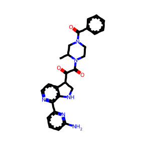 CC1CN(C(=O)c2ccccc2)CCN1C(=O)C(=O)C1CNc2c1ccnc2-c1cccc(N)n1